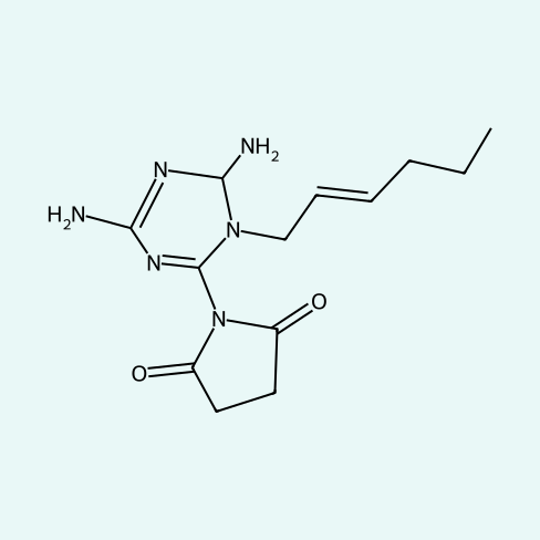 CCCC=CCN1C(N2C(=O)CCC2=O)=NC(N)=NC1N